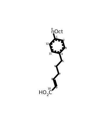 CCCCCCCCc1ccc(CCCC=CC(=O)O)cc1